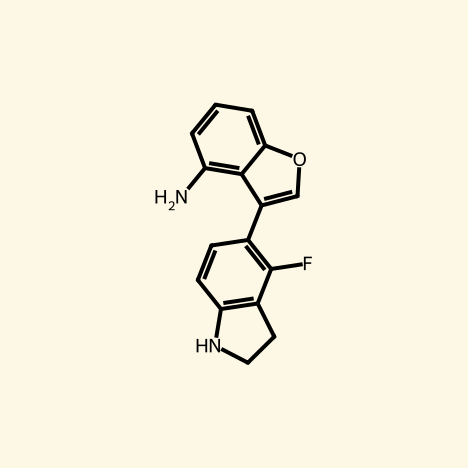 Nc1cccc2occ(-c3ccc4c(c3F)CCN4)c12